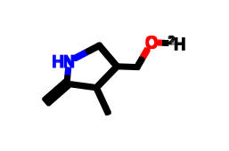 [2H]OCC1CNC(=C)C1C